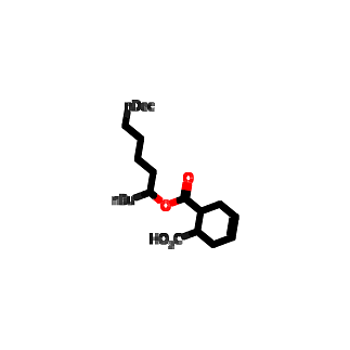 CCCCCCCCCCCCCCC(CCCC)OC(=O)C1CC=CCC1C(=O)O